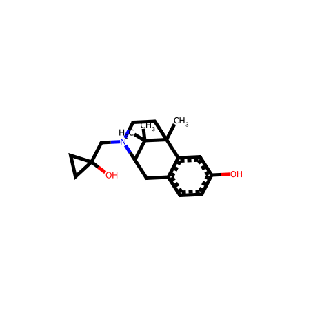 CC12CCN(CC3(O)CC3)C(Cc3ccc(O)cc31)C2(C)C